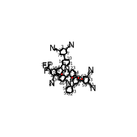 N#Cc1cc(C#N)cc(-c2ccc3c(c2)c2ccccc2n3-c2ccc(C#N)cc2-c2cc(-c3ccc(C(F)(F)F)cc3C#N)ccc2-n2c3ccccc3c3cc(-c4cc(C#N)cc(C#N)c4)ccc32)c1